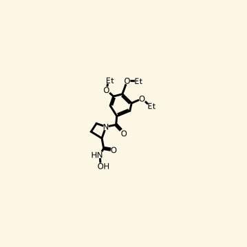 CCOc1cc(C(=O)N2CCC2C(=O)NO)cc(OCC)c1OCC